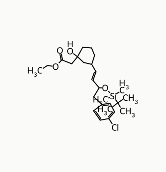 CCOC(=O)CC1(O)CCCC(C=CC(Cc2ccc(Cl)cc2)O[Si](C)(C)C(C)(C)C)C1